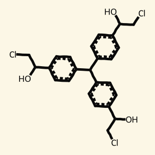 OC(CCl)c1ccc(C(c2ccc(C(O)CCl)cc2)c2ccc(C(O)CCl)cc2)cc1